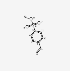 C=Cc1ccc(S(=O)(=O)OC)cc1